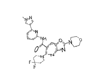 Cn1cc(-c2cccc(NC(=O)c3cc4oc(N5CCOCC5)nc4nc3N3CCC(F)(F)CC3)n2)cn1